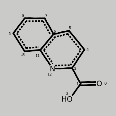 O=C(O)c1c[c]c2ccccc2n1